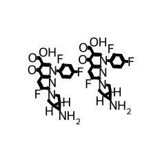 N[C@@H]1[C@H]2CN(c3nc4c(cc3F)c(=O)c(C(=O)O)cn4-c3ccc(F)cc3F)C[C@@H]12.N[C@@H]1[C@H]2CN(c3nc4c(cc3F)c(=O)c(C(=O)O)cn4-c3ccc(F)cc3F)C[C@@H]12